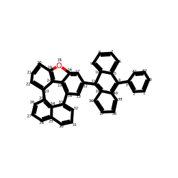 c1ccc(-c2c3ccccc3c(-c3cc4c5c(c3)oc3cccc(c35)-c3cccc5cccc-4c35)c3ccccc23)cc1